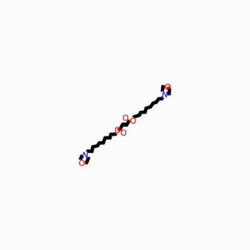 O=C(/C=C/C(=O)OCCCCCCCCCCN1CCOCC1)OCCCCCCCCCCN1CCOCC1